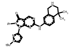 CC(C)n1c(=O)c2cnc(Nc3ccc4c(c3)CNCC4(C)C)nc2n1-c1ccn(C(C)(C)C)n1